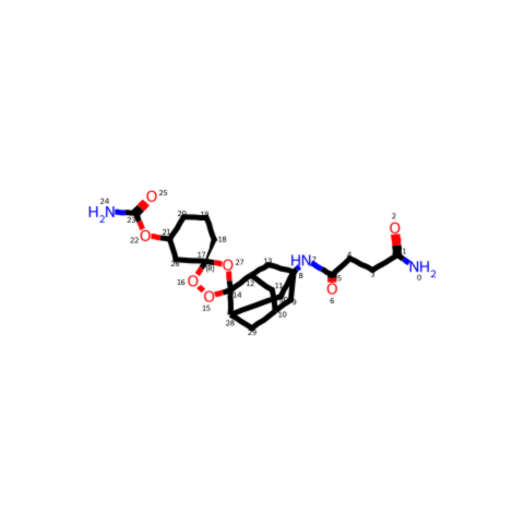 NC(=O)CCC(=O)NC12CC3CC(C1)C1(OO[C@@]4(CCCC(OC(N)=O)C4)O1)C(C3)C2